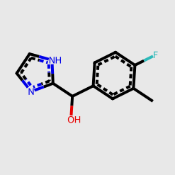 Cc1cc(C(O)c2ncc[nH]2)ccc1F